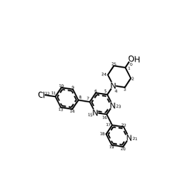 OC1CCN(c2cc(-c3ccc(Cl)cc3)nc(-c3cccnc3)n2)CC1